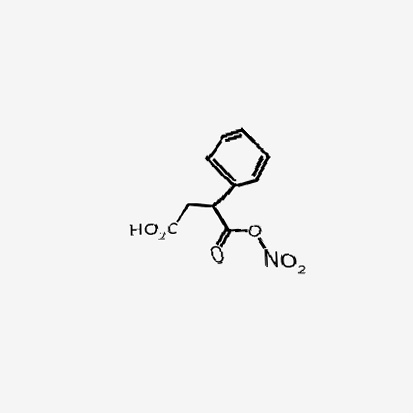 O=C(O)CC(C(=O)O[N+](=O)[O-])c1ccccc1